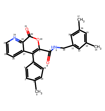 Cc1ccc(-c2c(C(=O)NCc3cc(C)cc(C)c3)oc(=O)c3ncccc23)cc1